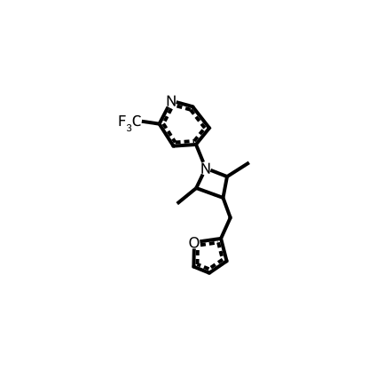 CC1C(Cc2ccco2)C(C)N1c1ccnc(C(F)(F)F)c1